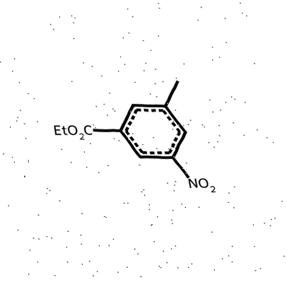 CCOC(=O)c1cc(C)cc([N+](=O)[O-])c1